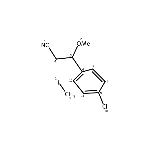 CI.COC(CC#N)c1ccc(Cl)cc1